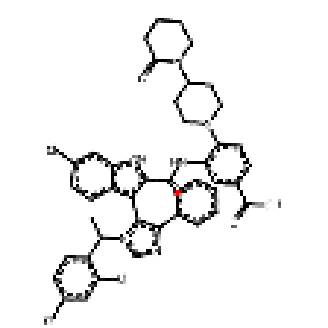 CC(c1ccc(Cl)cc1Cl)n1cnc(-c2ccccc2)c1-c1c(C(=O)Nc2cc(C(=O)O)ccc2N2CCC(N3CCCCC3=O)CC2)[nH]c2cc(Cl)ccc12